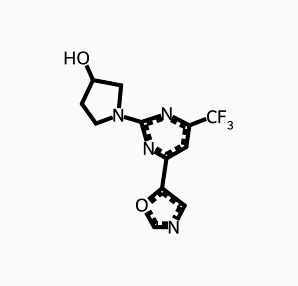 OC1CCN(c2nc(-c3cnco3)cc(C(F)(F)F)n2)C1